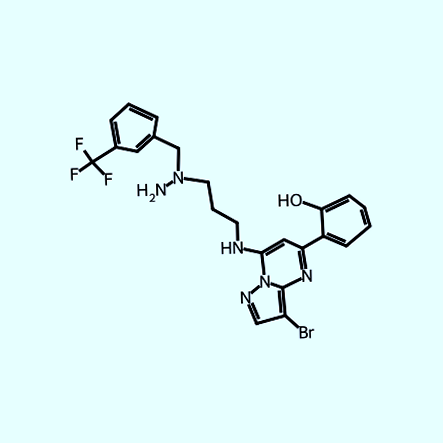 NN(CCCNc1cc(-c2ccccc2O)nc2c(Br)cnn12)Cc1cccc(C(F)(F)F)c1